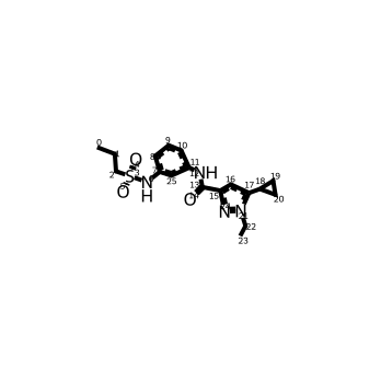 CCCS(=O)(=O)Nc1cccc(NC(=O)c2cc(C3CC3)n(CC)n2)c1